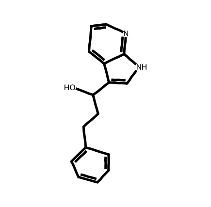 OC(CCc1ccccc1)c1c[nH]c2ncccc12